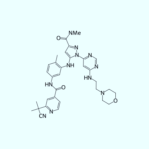 CNC(=O)c1cc(Nc2cc(NC(=O)c3ccnc(C(C)(C)C#N)c3)ccc2C)n(-c2cc(NCCN3CCOCC3)ncn2)n1